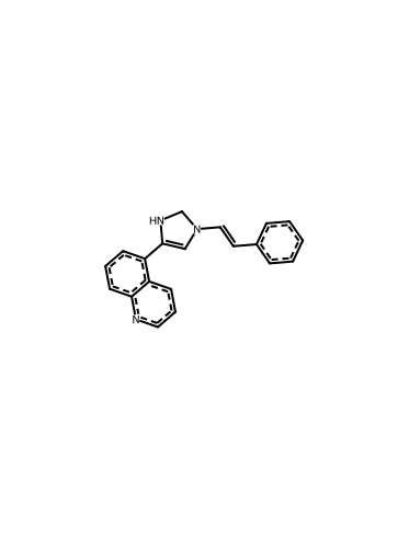 C(=CN1C=C(c2cccc3ncccc23)NC1)c1ccccc1